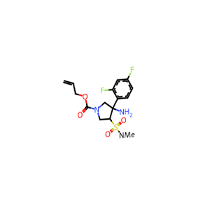 C=CCOC(=O)N1CC(S(=O)(=O)NC)C(N)(c2ccc(F)cc2F)C1